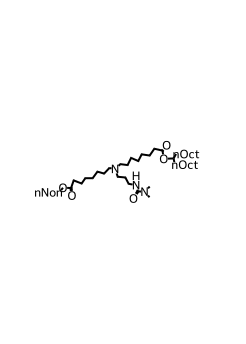 CCCCCCCCCOC(=O)CCCCCCCN(CCCCCCCC(=O)OC(CCCCCCCC)CCCCCCCC)CCCNC(=O)N(C)C